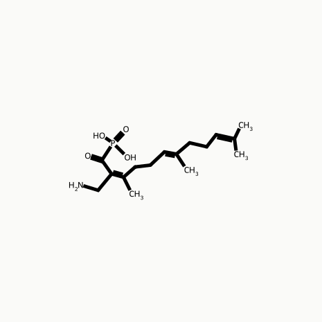 CC(C)=CCC/C(C)=C/CC/C(C)=C(/CN)C(=O)P(=O)(O)O